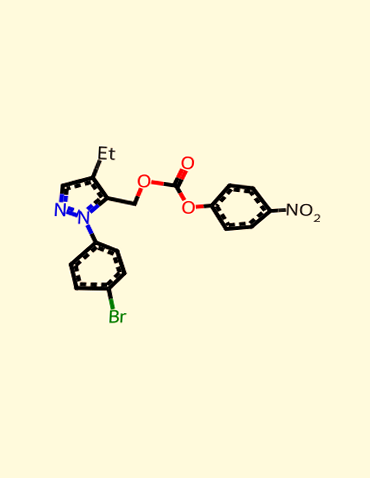 CCc1cnn(-c2ccc(Br)cc2)c1COC(=O)Oc1ccc([N+](=O)[O-])cc1